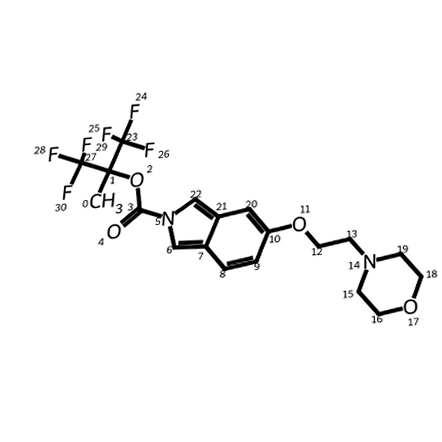 CC(OC(=O)n1cc2ccc(OCCN3CCOCC3)cc2c1)(C(F)(F)F)C(F)(F)F